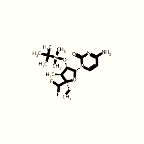 CC[C@@]1(C(F)F)O[C@@H](n2ccc(N)nc2=O)[C@@H](O[Si](C)(C)C(C)(C)C)[C@@H]1C